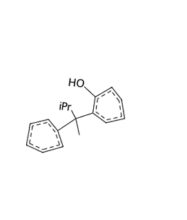 CC(C)C(C)(c1ccccc1)c1ccccc1O